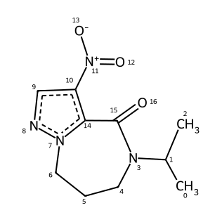 CC(C)N1CCCn2ncc([N+](=O)[O-])c2C1=O